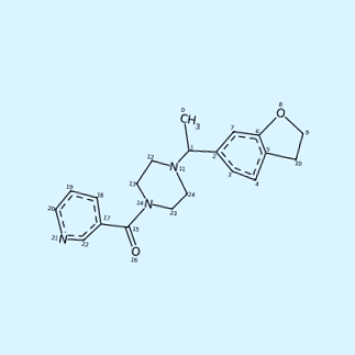 CC(c1ccc2c(c1)OCC2)N1CCN(C(=O)c2cccnc2)CC1